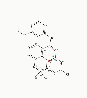 COc1cccc2c1-c1ccc3c(c1/C(=C\c1cc(Cl)cc(Cl)c1)O2)C(C)=CC(C)(C)N3